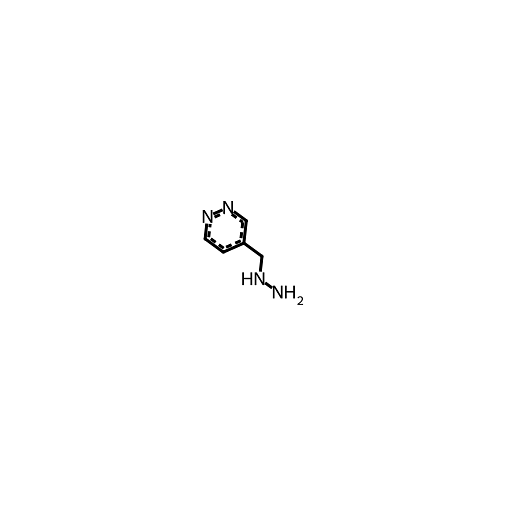 NNCc1ccnnc1